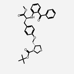 COC(=O)[C@H](Cc1ccc(OC[C@@H]2CSCN2C(=O)OC(C)(C)C)cc1)Nc1ccccc1C(=O)c1ccccc1